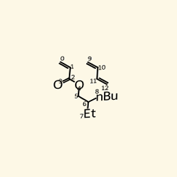 C=CC(=O)OCC(CC)CCCC.C=CC=C